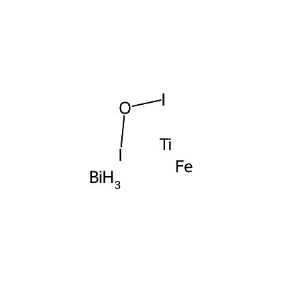 IOI.[BiH3].[Fe].[Ti]